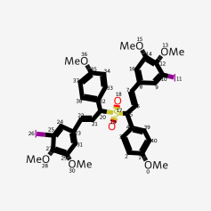 COc1ccc(C(C=Cc2cc(I)c(OC)c(OC)c2)S(=O)(=O)C(C=Cc2cc(I)c(OC)c(OC)c2)c2ccc(OC)cc2)cc1